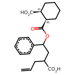 C=CCC(CC(OC(=O)[C@@H]1CCCC[C@@H]1C(=O)O)c1ccccc1)C(=O)O